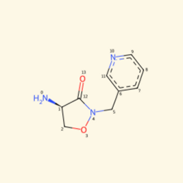 N[C@@H]1CON(Cc2cccnc2)C1=O